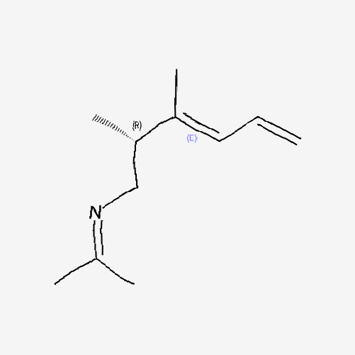 C=C/C=C(\C)[C@@H](C)CN=C(C)C